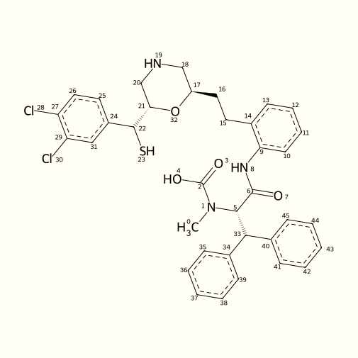 CN(C(=O)O)[C@H](C(=O)Nc1ccccc1CC[C@@H]1CNC[C@@H](C(S)c2ccc(Cl)c(Cl)c2)O1)C(c1ccccc1)c1ccccc1